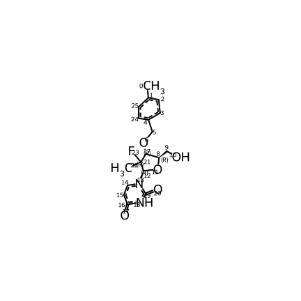 Cc1ccc(CO[C@@H]2[C@@H](CO)O[C@@H](n3ccc(=O)[nH]c3=O)[C@]2(C)F)cc1